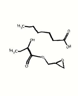 CC(O)C(=O)OCC1CO1.CCCCCC(=O)O